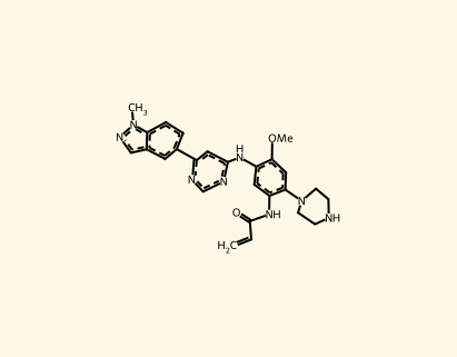 C=CC(=O)Nc1cc(Nc2cc(-c3ccc4c(cnn4C)c3)ncn2)c(OC)cc1N1CCNCC1